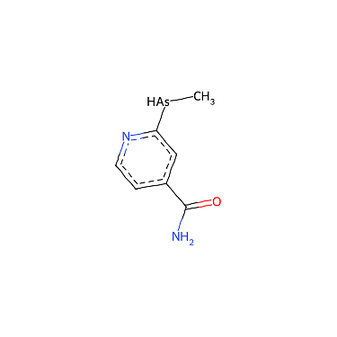 C[AsH]c1cc(C(N)=O)ccn1